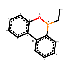 CCP1Oc2ccccc2-c2ccccc21